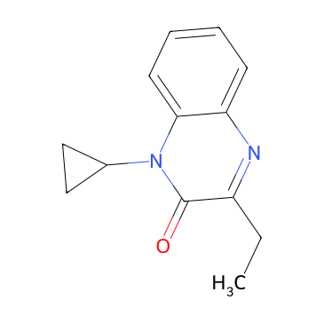 CCc1nc2ccccc2n(C2CC2)c1=O